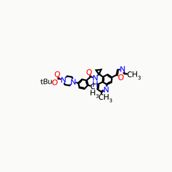 Cc1ccc2c(C3(NC(=O)c4cc(N5CCN(C(=O)OC(C)(C)C)CC5)ccc4C)CC3)cc(-c3cnc(C)o3)cc2n1